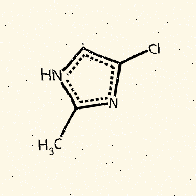 Cc1nc(Cl)[c][nH]1